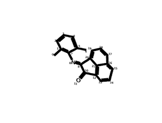 Cc1cccc(C)c1N=C1C(=O)c2cccc3cccc1c23